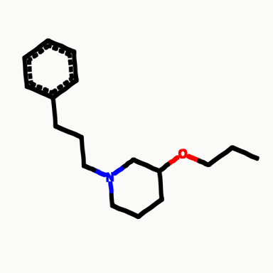 CCCOC1CCCN(CCCc2ccccc2)C1